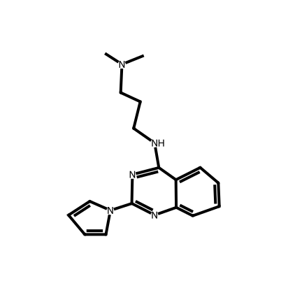 CN(C)CCCNc1nc(-n2cccc2)nc2ccccc12